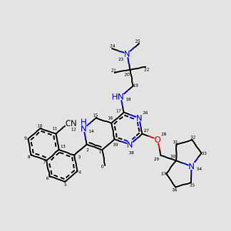 CC1=C(c2cccc3cccc(C#N)c23)NCc2c(NCC(C)(C)N(C)C)nc(OCC34CCCN3CCC4)nc21